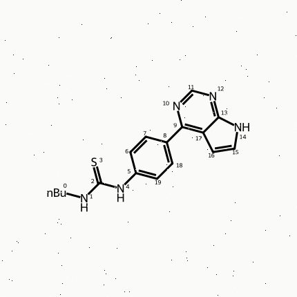 CCCCNC(=S)Nc1ccc(-c2ncnc3[nH]ccc23)cc1